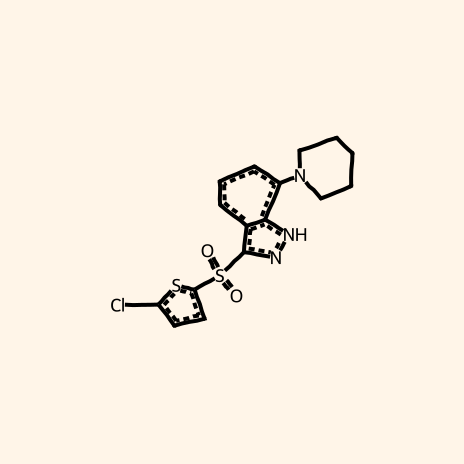 O=S(=O)(c1ccc(Cl)s1)c1n[nH]c2c(N3CCCCC3)cccc12